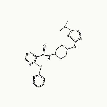 CN(C)c1ccnc(NC2CCC(NC(=O)c3cccnc3Sc3ccccc3)CC2)n1